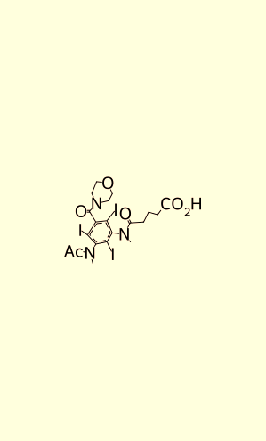 CC(=O)N(C)c1c(I)c(C(=O)N2CCOCC2)c(I)c(N(C)C(=O)CCCC(=O)O)c1I